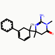 CN1C(=O)CC(C)(C2(C#N)C=CC=C(c3ccccc3)C2)N=C1N